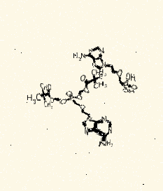 CC(C)(C)C(=O)OCOP(=O)(COCCn1cnc2c(N)ncnc21)OCOC(=O)C(C)(C)C.Nc1ncnc2c1ncn2CCOCP(=O)(O)O